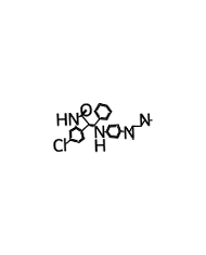 CN(C)CCN(C)c1ccc(NC(=C2C(=O)Nc3cc(Cl)ccc32)c2ccccc2)cc1